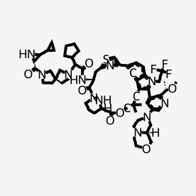 CO[C@@H](C)c1ncc(N2CCN3CCOC[C@@H]3C2)cc1-c1c2c3cc(ccc3n1CC(F)(F)F)-c1csc(n1)C[C@H](NC(=O)C(C1CCCC1)N1CC[C@]3(CCN(C(=O)[C@@H]4NC4C4CC4)C3)C1)C(=O)N1CCC[C@H](N1)C(=O)OCC(C)(C)C2